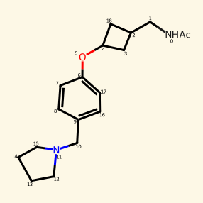 CC(=O)NCC1CC(Oc2ccc(CN3CCCC3)cc2)C1